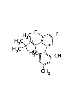 Cc1cc(C)c(-c2cccc(F)c2C2=[N+](C)C(C)(C)CO2)c(C)c1.[I-]